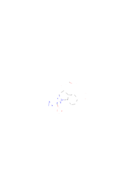 COc1ccc2c(c1)c(OC(C)=O)c(C)n2C(=O)N1CCCCC1